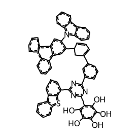 Oc1c(O)c(O)c(-c2nc(-c3cccc(C4=CC=CC(c5cc6c7ccccc7c7ccccc7c6cc5-n5c6ccccc6c6ccccc65)C4)c3)nc(-c3cccc4c3sc3ccccc34)n2)c(O)c1O